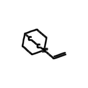 C=C[N+]12CCC(CC1)CC2